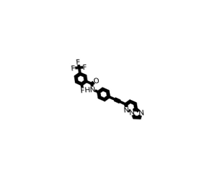 O=C(Nc1ccc(C#Cc2ccc3nccn3n2)cc1)c1cc(C(F)(F)F)ccc1F